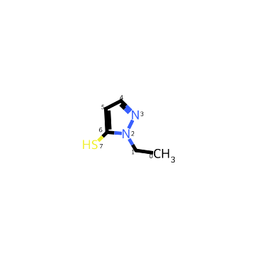 CCn1nccc1S